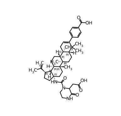 C=C(C)[C@@H]1CC[C@]2(NC(=O)N3CCNC(=O)C3CC(=O)O)CC[C@]3(C)[C@H](CC[C@@H]4[C@@]5(C)CC=C(c6ccc(C(=O)O)cc6)C(C)(C)[C@@H]5CC[C@]43C)[C@@H]12